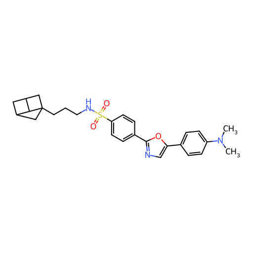 CN(C)c1ccc(-c2cnc(-c3ccc(S(=O)(=O)NCCCC45CC6CC(C4)C65)cc3)o2)cc1